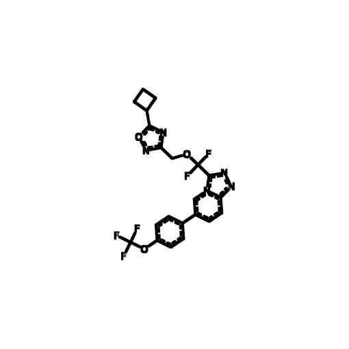 FC(F)(F)Oc1ccc(-c2ccc3nnc(C(F)(F)OCc4noc(C5CCC5)n4)n3c2)cc1